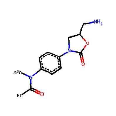 CCCN(C(=O)CC)c1ccc(N2CC(CN)OC2=O)cc1